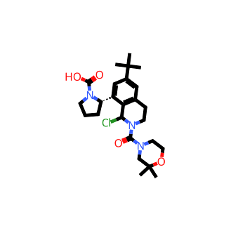 CC1(C)CN(C(=O)N2CCc3cc(C(C)(C)C)cc([C@@H]4CCCN4C(=O)O)c3C2Cl)CCO1